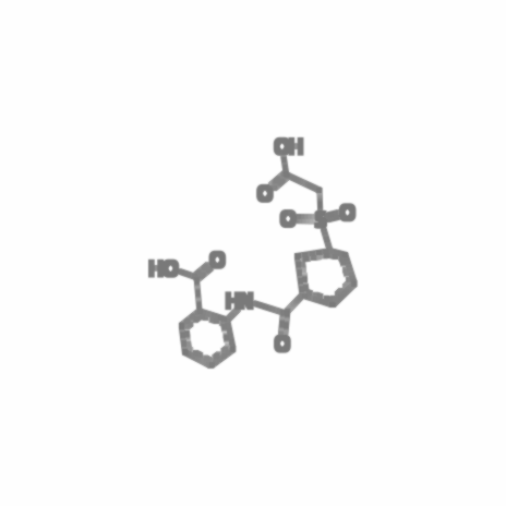 O=C(O)CS(=O)(=O)c1cccc(C(=O)Nc2ccccc2C(=O)O)c1